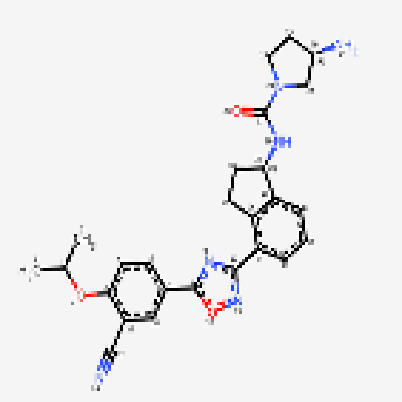 CC(C)Oc1ccc(-c2nc(-c3cccc4c3CC[C@H]4NC(=O)N3CC[C@@H](N)C3)no2)cc1C#N